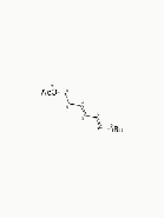 CCCCC=CC=CCCOC(C)=O